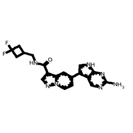 Nc1ncc2c(-c3ccn4ncc(C(=O)NCC5CC(F)(F)C5)c4c3)c[nH]c2n1